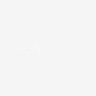 CCCCCCCCCCCCCCCCCCNC(=O)OC[C@H](COC(=O)CCC[n+]1ccccc1)OC(=O)OC.[I-]